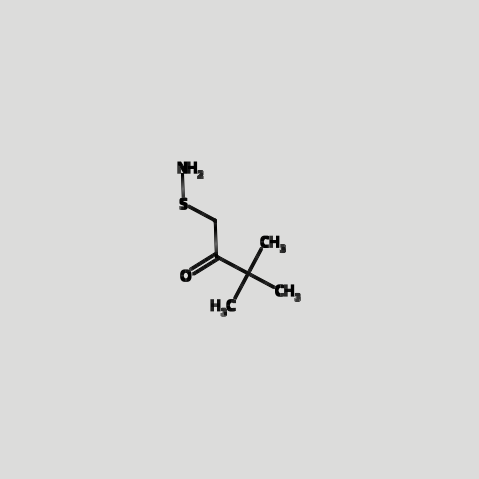 CC(C)(C)C(=O)CSN